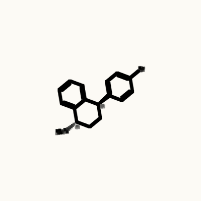 CN[C@H]1CC[C@H](c2ccc(Br)cc2)c2ccccc21